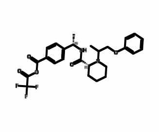 CC(COc1ccccc1)N1CCCC[C@@H]1C(=O)N[C@@H](C)c1ccc(C(=O)OC(=O)C(F)(F)F)cc1